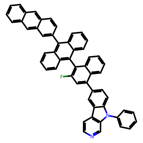 Fc1cc(-c2ccc3c(c2)c2ccncc2n3-c2ccccc2)c2ccccc2c1-c1c2ccccc2c(-c2ccc3cc4ccccc4cc3c2)c2ccccc12